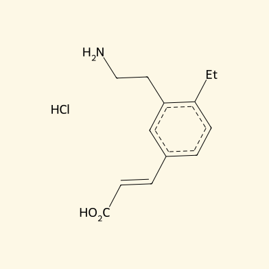 CCc1ccc(C=CC(=O)O)cc1CCN.Cl